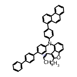 C/C=C\c1c(C)oc2cccc(N(c3ccc(-c4ccc(-c5ccccc5)cc4)cc3)c3ccc(-c4cccc5c4ccc4ccccc45)cc3)c12